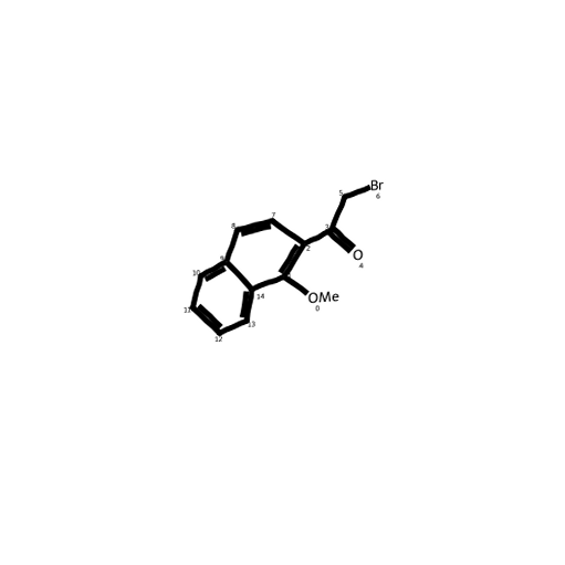 COc1c(C(=O)CBr)ccc2ccccc12